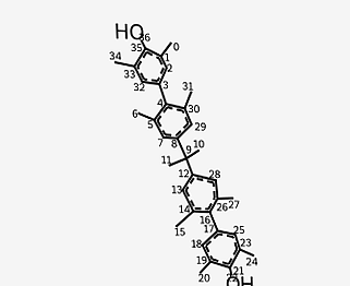 Cc1cc(-c2c(C)cc(C(C)(C)c3cc(C)c(-c4cc(C)c(O)c(C)c4)c(C)c3)cc2C)cc(C)c1O